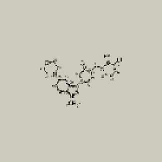 [CH2]n1cc(-c2ccn(Cc3cccc(Cl)c3F)c(=O)c2)c2cc(N3CCOCC3)cnc21